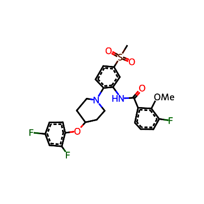 COc1c(F)cccc1C(=O)Nc1cc(S(C)(=O)=O)ccc1N1CCC(Oc2ccc(F)cc2F)CC1